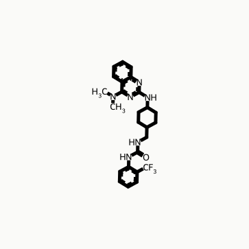 CN(C)c1nc(NC2CCC(CNC(=O)Nc3ccccc3C(F)(F)F)CC2)nc2ccccc12